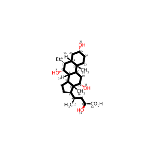 CC[C@H]1[C@@H](O)[C@H]2C3CC[C@H]([C@H](C)C[C@H](O)C(=O)O)[C@@]3(C)[C@@H](O)CC2[C@@]2(C)CC[C@@H](O)C[C@@H]12